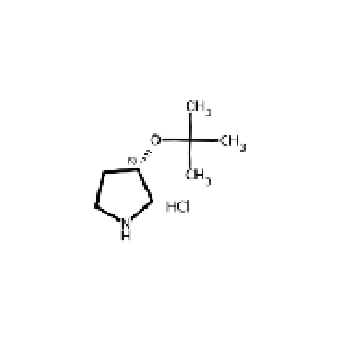 CC(C)(C)O[C@H]1CCNC1.Cl